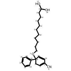 N#CC1=CCC(OCCCCCCCCCCC(O)O)(c2ccccc2)C=C1